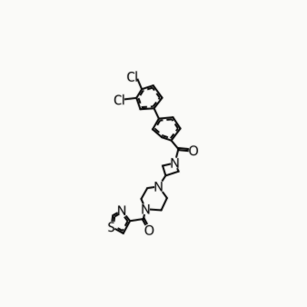 O=C(c1ccc(-c2ccc(Cl)c(Cl)c2)cc1)N1CC(N2CCN(C(=O)c3cscn3)CC2)C1